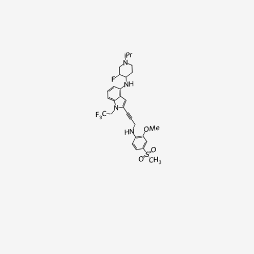 COc1cc(S(C)(=O)=O)ccc1NCC#Cc1cc2c(NC3CCN(C(C)C)CC3F)cccc2n1CC(F)(F)F